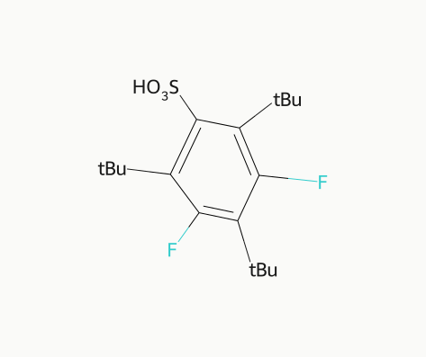 CC(C)(C)c1c(F)c(C(C)(C)C)c(S(=O)(=O)O)c(C(C)(C)C)c1F